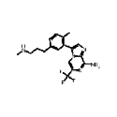 CNCCCc1ccc(C)c(-c2cnc3c(N)nc(C(F)(F)F)cn23)c1